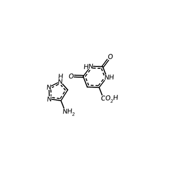 Nc1c[nH]nn1.O=C(O)c1cc(=O)[nH]c(=O)[nH]1